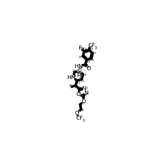 CC(c1nnc(OCCOC(F)(F)F)o1)C1CC[Si@H](NC(=O)c2ccc(C(F)(F)F)c(F)c2)CN1